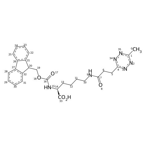 Cc1nnc(CCC(=O)NCCCC[C@H](NC(=O)OCC2c3ccccc3-c3ccccc32)C(=O)O)nn1